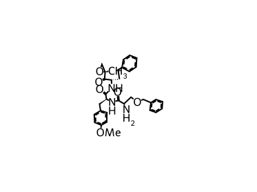 COc1ccc(C[C@H](NC(=O)[C@@H](N)COCc2ccccc2)C(=O)N[C@@H](CCc2ccccc2)C(=O)[C@@]2(C)CO2)cc1